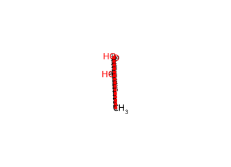 CCCCCCCCCCCCCCCCCCCC(O)CCCCCCCCC(=O)O